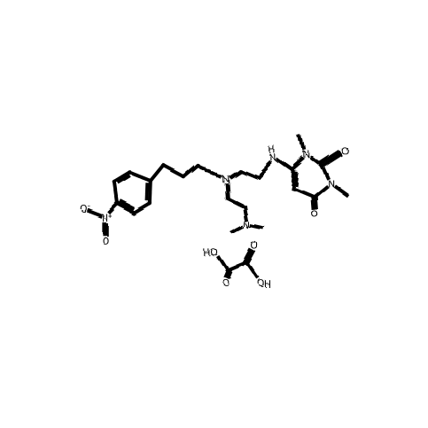 CN(C)CCN(CCCc1ccc([N+](=O)[O-])cc1)CCNc1cc(=O)n(C)c(=O)n1C.O=C(O)C(=O)O